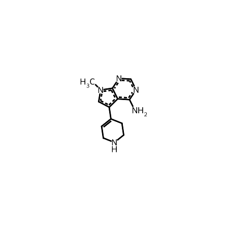 Cn1cc(C2=CCNCC2)c2c(N)ncnc21